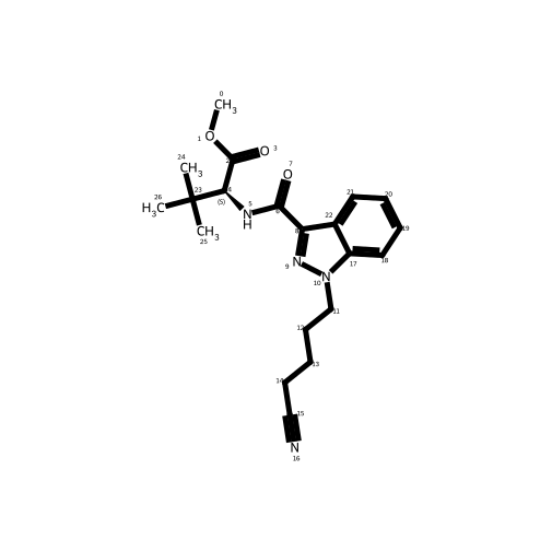 COC(=O)[C@@H](NC(=O)c1nn(CCCCC#N)c2ccccc12)C(C)(C)C